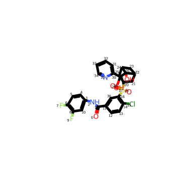 O=C(Nc1ccc(F)c(F)c1)c1ccc(Cl)c(S(=O)(=O)C2CC3CC(C2)C3(O)C(O)c2ccccn2)c1